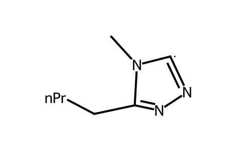 CCCCc1nn[c]n1C